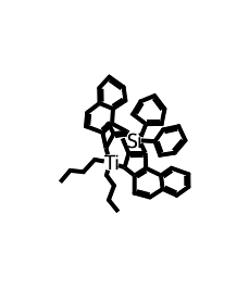 CCC[CH2][Ti]1([CH2]CCC)[CH]2C(C)=C(c3c2ccc2ccccc32)[Si](c2ccccc2)(c2ccccc2)C2=C(C)[CH]1c1ccc3ccccc3c12